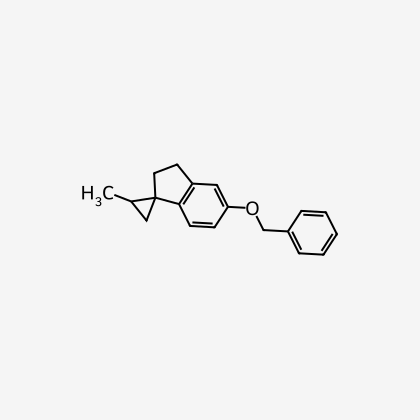 CC1CC12CCc1cc(OCc3ccccc3)ccc12